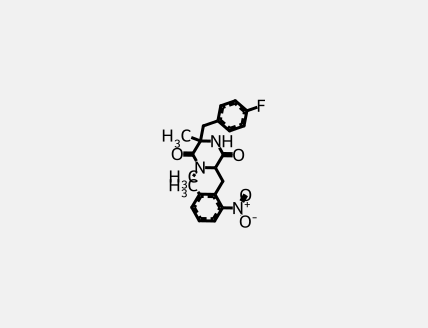 Cc1cccc([N+](=O)[O-])c1CC1C(=O)NC(C)(Cc2ccc(F)cc2)C(=O)N1C